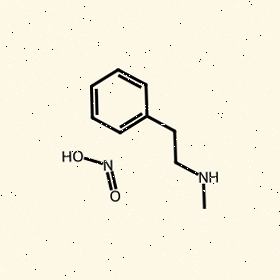 CNCCc1ccccc1.O=NO